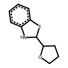 c1ccc2c(c1)NC(C1CCCO1)S2